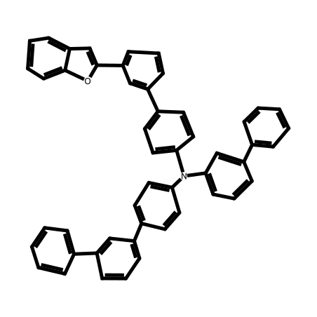 c1ccc(-c2cccc(-c3ccc(N(c4ccc(-c5cccc(-c6cc7ccccc7o6)c5)cc4)c4cccc(-c5ccccc5)c4)cc3)c2)cc1